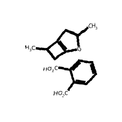 CC1CC2=C(CC2C)O1.O=C(O)c1ccccc1C(=O)O